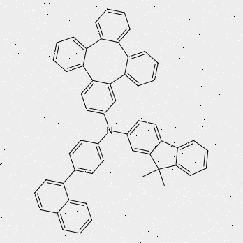 CC1(C)c2ccccc2-c2ccc(N(c3ccc(-c4cccc5ccccc45)cc3)c3ccc4c(c3)-c3ccccc3-c3ccccc3-c3ccccc3-4)cc21